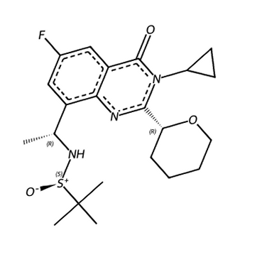 C[C@@H](N[S@+]([O-])C(C)(C)C)c1cc(F)cc2c(=O)n(C3CC3)c([C@H]3CCCCO3)nc12